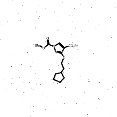 CCOC(=O)c1cn(C(=O)OC(C)(C)C)nc1OCCC1CCCC1